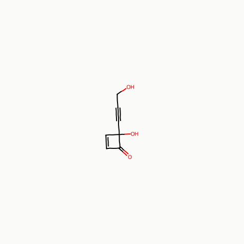 O=C1C=CC1(O)C#CCO